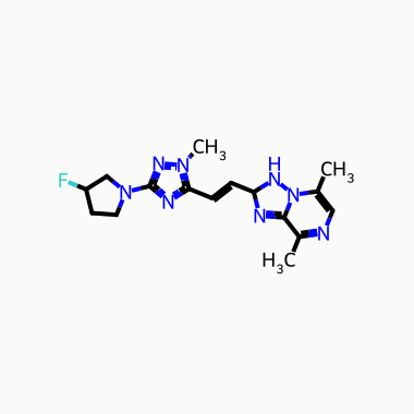 CC1=CN=C(C)C2=NC(/C=C/c3nc(N4CCC(F)C4)nn3C)NN12